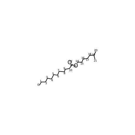 CCCCCCCCCCCC(=O)OCCCCCC(C)C